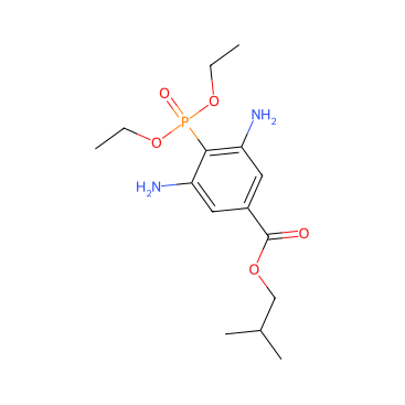 CCOP(=O)(OCC)c1c(N)cc(C(=O)OCC(C)C)cc1N